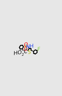 Cc1ccccc1S(=O)(=O)Nc1cc(-c2cccc(F)c2)sc1C(=O)O